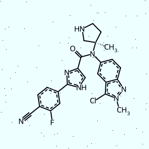 Cn1nc2ccc(N(C(=O)c3c[nH]c(-c4ccc(C#N)c(F)c4)n3)[C@]3(C)CCNC3)cc2c1Cl